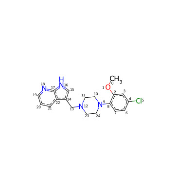 COc1cc(Cl)ccc1N1CCN(Cc2c[nH]c3ncccc23)CC1